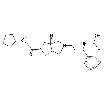 C1CCCC1.O=C(O)NC(CCN1CC2CN(C(=O)C3CC3)C[C@@H]2C1)c1ccccc1